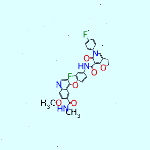 CNC(=O)c1cc2c(Oc3ccc(NC(=O)c4c5c(cn(-c6ccc(F)cc6)c4=O)CCO5)cc3F)ccnc2cc1OC